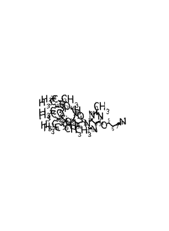 Cc1nc(OCCC#N)c2ncn([C@@H]3O[C@@H]4CO[Si](C(C)C)(C(C)C)O[Si](C(C)C)(C(C)C)O[C@@H]4C3C)c2n1